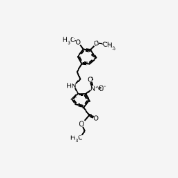 CCOC(=O)c1ccc(NCCc2ccc(OC)c(OC)c2)c([N+](=O)[O-])c1